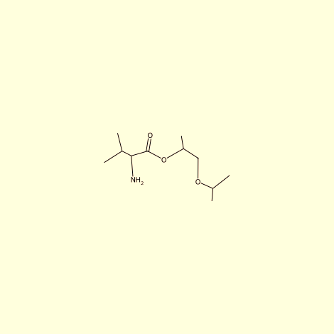 CC(C)OCC(C)OC(=O)C(N)C(C)C